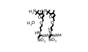 CN/C(=C\[N+](=O)[O-])NCCCOCc1cc(C)c(C(C)(C)N)o1.CN/C(=C\[N+](=O)[O-])NCCCOCc1cc(C)c(C(C)(C)N)o1.O